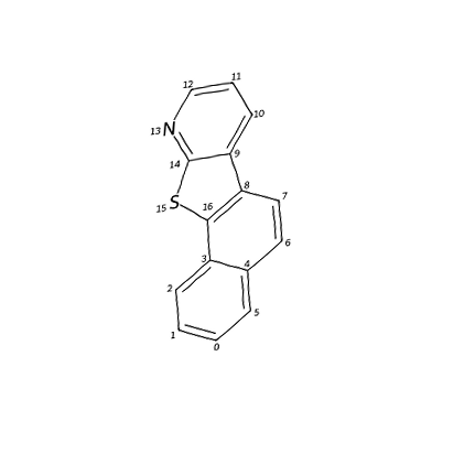 c1ccc2c(c1)ccc1c3cccnc3sc21